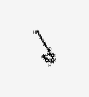 CNCCCOCCOCCOCCCNC(=O)CNC(=O)c1cccc(-c2cc(Nc3ccc(OC(F)(F)F)cc3)ncn2)c1